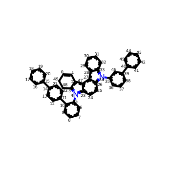 C1=Cc2c(n(-c3ccccc3-c3ccc(-c4ccccc4)cc3)c3ccc4c(c5ccccc5n4-c4cccc(-c5ccccc5)c4)c23)CC1